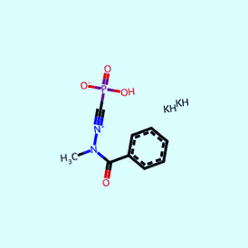 CN([N+]#CP(=O)([O-])O)C(=O)c1ccccc1.[KH].[KH]